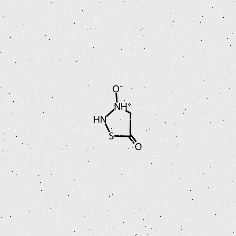 O=C1C[NH+]([O-])NS1